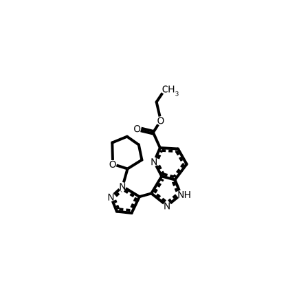 CCOC(=O)c1ccc2[nH]nc(-c3ccnn3C3CCCCO3)c2n1